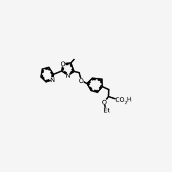 CCOC(Cc1ccc(OCc2nc(-c3ccccn3)oc2C)cc1)C(=O)O